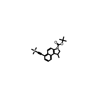 CC1CN(C(=O)OC(C)(C)C)c2ccc3c(C#C[Si](C)(C)C)cccc3c21